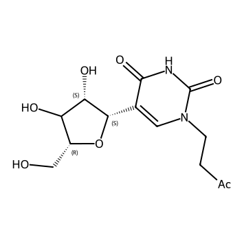 CC(=O)CCn1cc([C@@H]2O[C@H](CO)C(O)[C@@H]2O)c(=O)[nH]c1=O